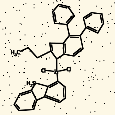 CCCC1=Cc2c(ccc(-c3ccccc3)c2-c2ccccc2)[CH]1[Zr]([Cl])([Cl])[c]1cccc2c1[SiH2]c1ccccc1-2